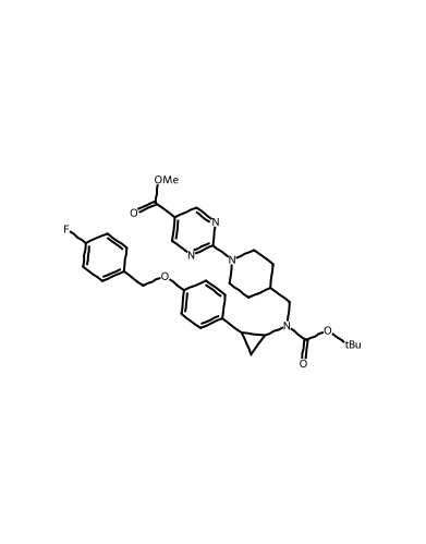 COC(=O)c1cnc(N2CCC(CN(C(=O)OC(C)(C)C)C3CC3c3ccc(OCc4ccc(F)cc4)cc3)CC2)nc1